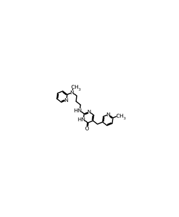 Cc1ccc(Cc2cnc(NCCCN(C)c3ccccn3)[nH]c2=O)cn1